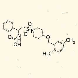 Cc1ccc(C)c(COC2CCN(S(=O)(=O)CC(NC(=O)O)c3ccccc3)CC2)c1